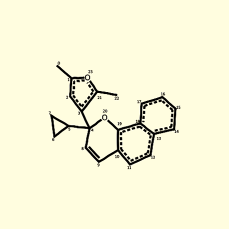 Cc1cc(C2(C3CC3)C=Cc3ccc4ccccc4c3O2)c(C)o1